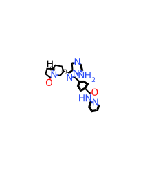 N[N+]12C=CN=CC1=C([C@@H]1CC[C@H]3CCC(=O)N3C1)N=C2c1ccc(C(=O)Nc2ccccn2)cc1